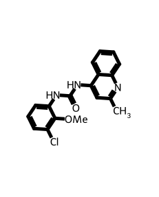 COc1c(Cl)cccc1NC(=O)Nc1cc(C)nc2ccccc12